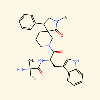 CC(C)N1CC(c2ccccc2)C2(CCCN(C(=O)[C@@H](Cc3c[nH]c4ccccc34)NC(=O)C(C)(C)N)C2)C1=O